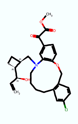 C=C[C@H](O)[C@@H]1CC[C@H]1CN1CCCCc2cc(Cl)ccc2COc2ccc(C(=O)C(=O)OC)cc21